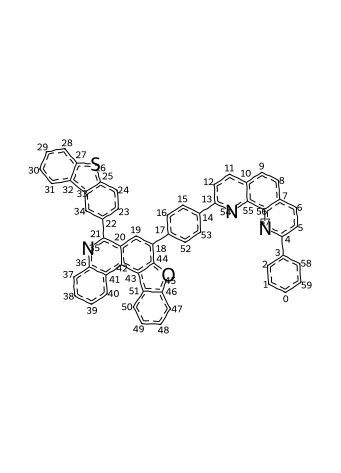 c1ccc(-c2ccc3ccc4ccc(-c5ccc(-c6cc7c(-c8ccc9sc%10ccccc%10c9c8)nc8ccccc8c7c7c6oc6ccccc67)cc5)nc4c3n2)cc1